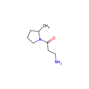 CC1CCCN1C(=O)CCN